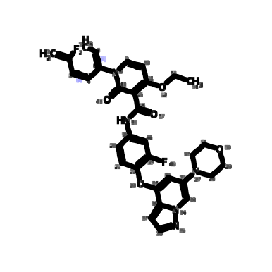 C=C(F)/C=C\C(=C/C)n1ccc(OCC)c(C(=O)Nc2ccc(Oc3cc(N4CCOCC4)cn4nccc34)c(F)c2)c1=O